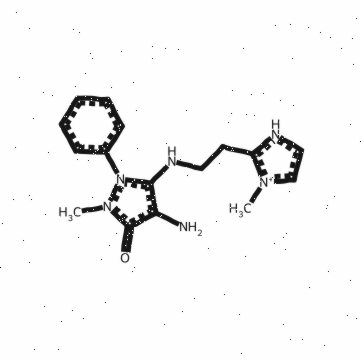 Cn1c(=O)c(N)c(NCCc2[nH]cc[n+]2C)n1-c1ccccc1